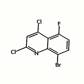 Fc1ccc(Br)c2nc(Cl)cc(Cl)c12